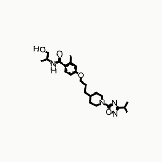 Cc1cc(OCCCC2CCN(c3nc(C(C)C)no3)CC2)ccc1C(=O)NC(C)CO